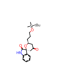 CC(C)(C)[Si](C)(C)OCCC[C@H]1CC(=O)C[C@@]2(O1)C(=O)Nc1ccccc12